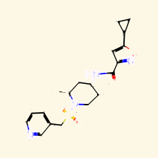 C[C@H]1C[C@H](NC(=O)c2cc(C3CC3)on2)CCN1S(=O)(=O)Cc1cccnc1